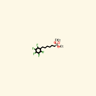 CCO[Si](CCCCCCc1c(F)c(F)c(F)c(F)c1F)(OCC)OCC